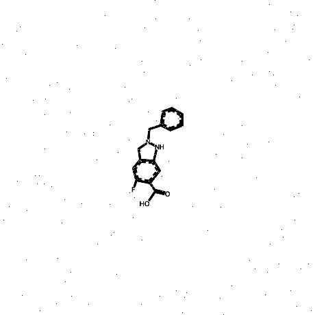 O=C(O)c1cc2c(cc1F)CN(Cc1ccccc1)N2